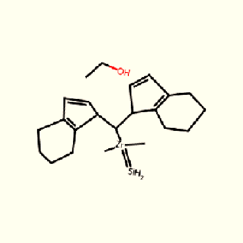 CCO.[CH3][Zr]([CH3])(=[SiH2])[CH](C1C=CC2=C1CCCC2)C1C=CC2=C1CCCC2